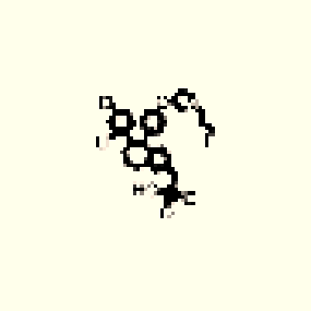 O=c1c(O)c(Cc2ccc3c(c2)CCCC(c2ccc(Cl)cc2Cl)=C3c2ccc(OC3CCN(CCCF)C3)cc2)c1=O